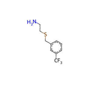 NCCSCc1cccc(C(F)(F)F)c1